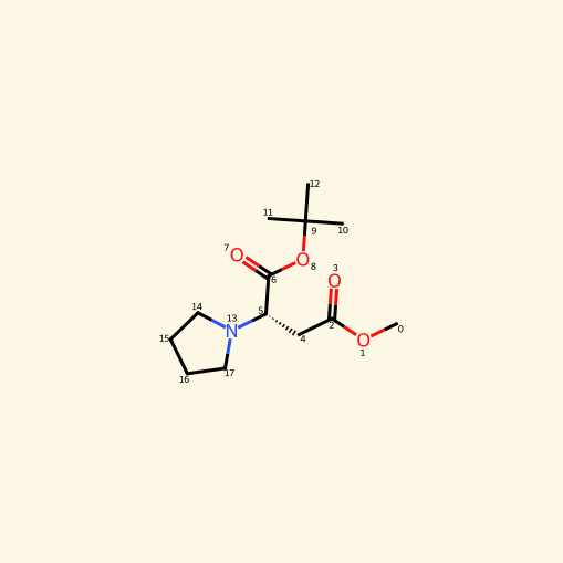 COC(=O)C[C@@H](C(=O)OC(C)(C)C)N1CCCC1